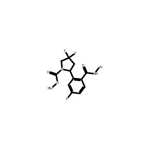 CC(C)NC(=O)c1ccc(F)cc1C1CC(F)(F)CN1C(=O)OC(C)(C)C